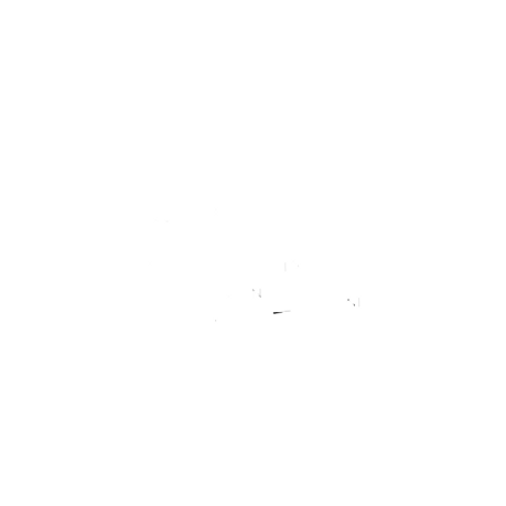 O=C(NC[C@@H]1CCNC[C@H]1O)c1cc(Cl)c(Cl)c2c1OCCCO2